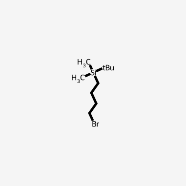 CC(C)(C)[Si](C)(C)CCCCBr